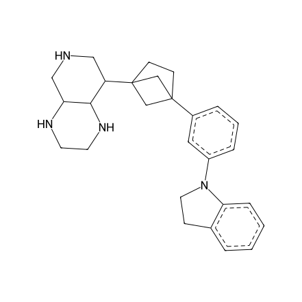 c1cc(N2CCc3ccccc32)cc(C23CCC(C4CNCC5NCCNC54)(C2)C3)c1